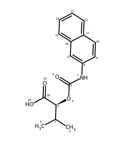 CC(C)[C@H](OC(=O)Nc1ccc2ccccc2c1)C(=O)O